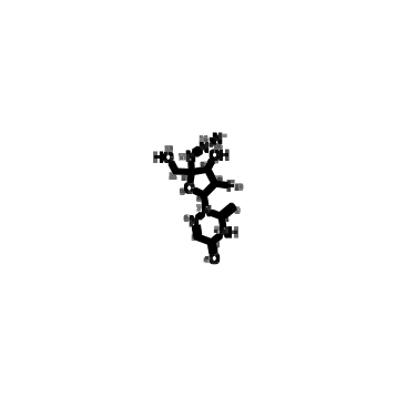 C=C1NC(=O)C=NN1C1OC(CO)(N=[N+]=[N-])C(O)C1F